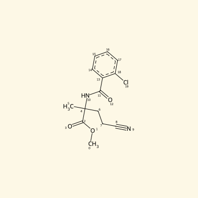 COC(=O)C(C)(CCC#N)NC(=O)c1ccccc1Cl